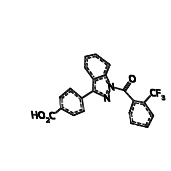 O=C(O)c1ccc(-c2nn(C(=O)c3ccccc3C(F)(F)F)c3ccccc23)cc1